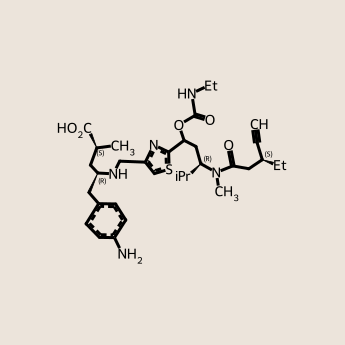 C#C[C@@H](CC)CC(=O)N(C)[C@H](CC(OC(=O)NCC)c1nc(CN[C@@H](Cc2ccc(N)cc2)C[C@H](C)C(=O)O)cs1)C(C)C